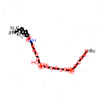 CCCCOCCOCCOCCOCCOCCOP(=O)(O)OCCOCCOCCOCCOCCOCCOP(=O)(O)OCC(O)COCCOCCOCCOCCCNC(=O)O[C@H]1CC[C@@]2(C)C(=CCC3C4CCC([C@H](C)CCCC(C)C)[C@@]4(C)CCC32)C1